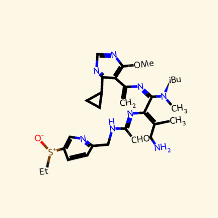 C=C(\N=C(C(/N=C(\C=O)NCc1ccc([S+]([O-])CC)cn1)=C(\C)CN)\N(C)[C@H](C)CC)c1c(OC)ncnc1C1CC1